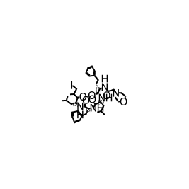 CC(C)C[C@H](NC(=O)[C@H](CCc1ccccc1)NC(=O)CN1CCOCC1)C(=O)N[C@@H](Cc1ccccc1)C(=O)N[C@@H](CC(C)C)C(=O)C(C)CI